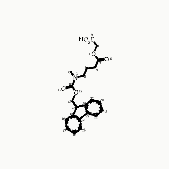 CN(CCCC(=O)OCC(=O)O)C(=O)OCC1c2ccccc2-c2ccccc21